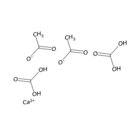 CC(=O)[O-].CC(=O)[O-].O=C(O)O.O=C(O)O.[Ca+2]